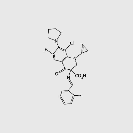 Cc1ccccc1C=NC1(C(=O)O)CN(C2=CC2)c2c(cc(F)c(N3CCCC3)c2Cl)C1=O